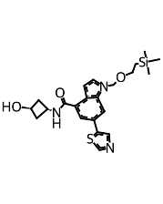 C[Si](C)(C)CCOCn1ccc2c(C(=O)N[C@H]3C[C@H](O)C3)cc(-c3cncs3)cc21